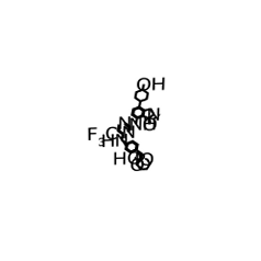 CN1Cc2c(C3CCC(O)CC3)ccc(Nc3ncc(C(F)(F)F)c(Nc4ccc(C[P]5(O)OCCCO5)cc4)n3)c2C1=O